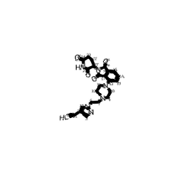 C#Cc1cnn(CCN2CCN(c3cccc4c3C(=O)N(C3CCC(=O)NC3=O)C4=O)CC2)c1